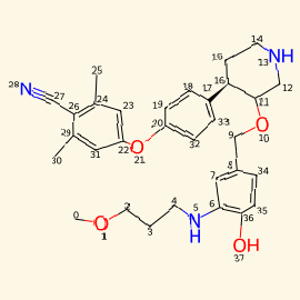 COCCCNc1cc(COC2CNCC[C@@H]2c2ccc(Oc3cc(C)c(C#N)c(C)c3)cc2)ccc1O